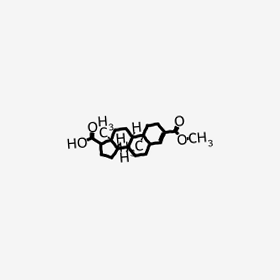 COC(=O)C1=CC2CC[C@@H]3[C@@H](CC[C@]4(C)C(C(=O)O)CC[C@@H]34)[C@@]2(C)CC1